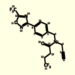 C#CCN(Cc1ccc(-c2noc(C(F)(F)F)n2)cc1)C(=O)CCC(F)(F)F